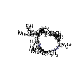 CO[C@H]1C[C@@H]2CC[C@@H](C)[C@@](O)(O2)C(=O)C(=O)N2CCCC[C@H]2C(=O)O[C@H]([C@H](C)C[C@@H]2CC[C@@H](OCCO)[C@H](OC)C2)CC(=O)[C@H](C)/C=C(\C)[C@@H](OC)[C@@H](OC)C(=O)[C@H](C)C[C@H](C)/C=C/C=C/C=C/1C